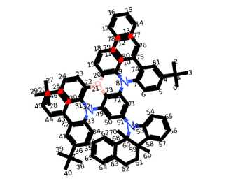 CC(C)(C)c1ccc(N2c3cc(-c4ccccc4)ccc3B3c4ccc(C(C)(C)C)cc4N(c4ccc(C(C)(C)C)cc4-c4ccccc4)c4cc(N5c6ccccc6C6(C)CCc7ccccc7C56C)cc2c43)c(-c2ccccc2)c1